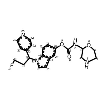 O=C(NC1CNCCO1)Oc1ccc2c(ccn2C(CCF)c2ccncc2)c1